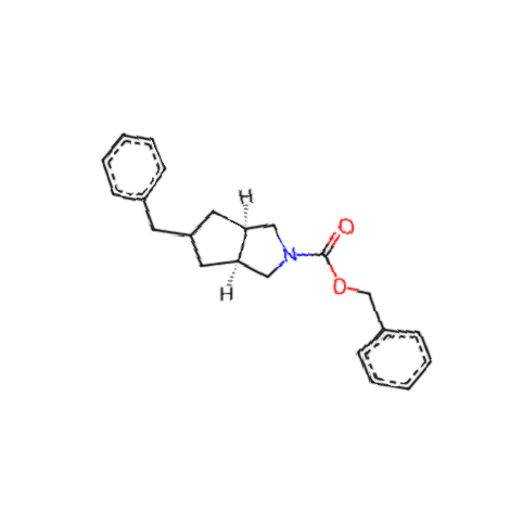 O=C(OCc1ccccc1)N1C[C@H]2CC(Cc3ccccc3)C[C@H]2C1